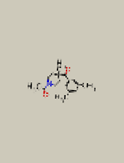 CC(=O)N1CCC(C)(C(=O)c2cc(C)cc(C)c2)CC1